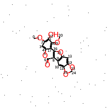 COc1cc2oc(=O)c3c4cc5c(cc4oc3c2c(OC)c1O)OCO5